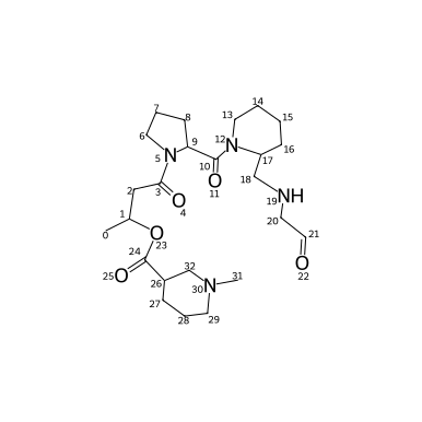 CC(CC(=O)N1CCCC1C(=O)N1CCCCC1CNCC=O)OC(=O)C1CCCN(C)C1